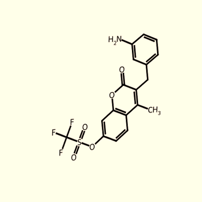 Cc1c(Cc2cccc(N)c2)c(=O)oc2cc(OS(=O)(=O)C(F)(F)F)ccc12